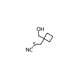 N#CSCC1(CO)CCC1